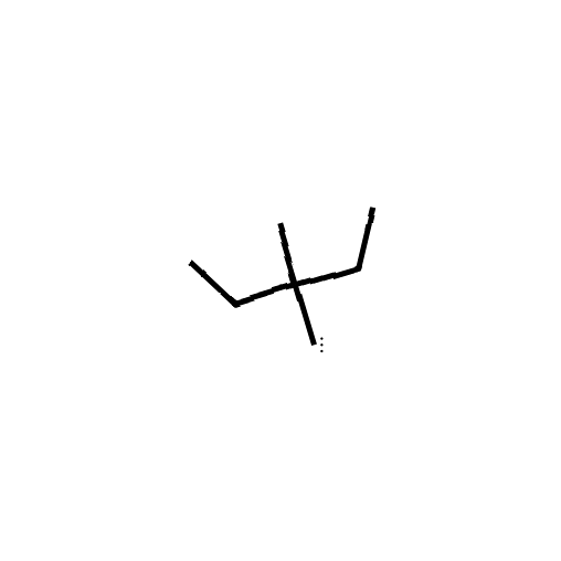 [C]C(C)(CC)CC